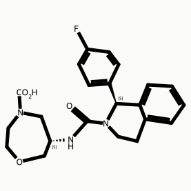 O=C(O)N1CCOC[C@@H](NC(=O)N2CCc3ccccc3[C@@H]2c2ccc(F)cc2)C1